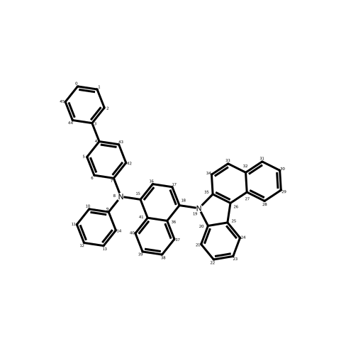 c1ccc(-c2ccc(N(c3ccccc3)c3ccc(-n4c5ccccc5c5c6ccccc6ccc54)c4ccccc34)cc2)cc1